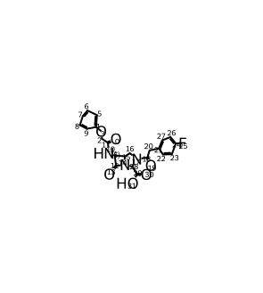 O=C(COc1ccccc1)N[C@@H]1C(=O)N2C1CN(C(=O)Cc1ccc(F)cc1)C2C(=O)O